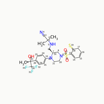 CC(C)(C#N)NC[C@H]1CN(S(=O)(=O)C2=CC=CCC2=S)CCN1c1ccc(C(C)(O)C(F)(F)F)cc1